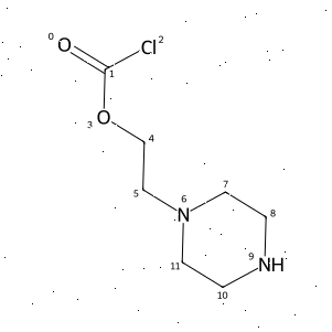 O=C(Cl)OCCN1CCNCC1